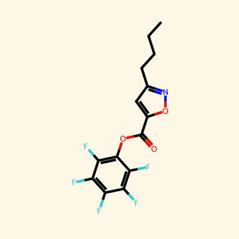 CCCCc1cc(C(=O)Oc2c(F)c(F)c(F)c(F)c2F)on1